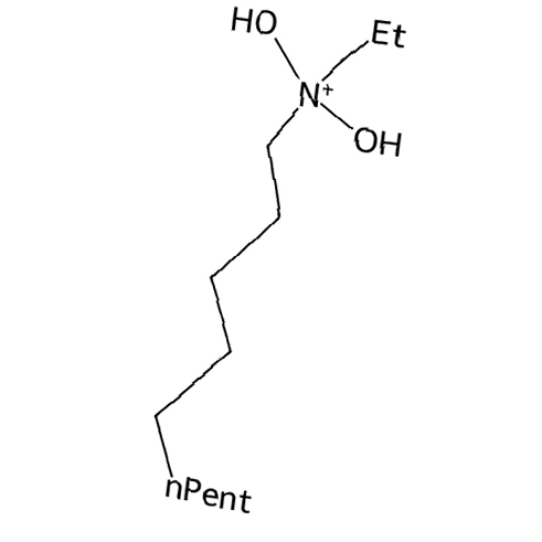 CCCCCCCCCC[N+](O)(O)CC